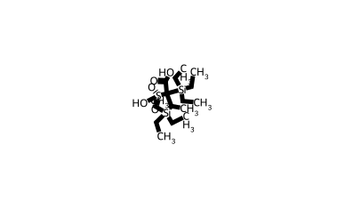 CC[Si](CC)(CC)C(C)C(C(=O)O)([Si](CC)(CC)CC)S(=O)(=O)O